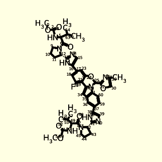 COC(=O)NC(C(=O)N1CCC[C@H]1c1ncc(-c2cc(F)c3c(c2)OC(c2nc(C)co2)n2c-3cc3cc(-c4cnc([C@@H]5CCCN5C(=O)C(NC(=O)OC)C(C)C)[nH]4)ccc32)[nH]1)C(C)C